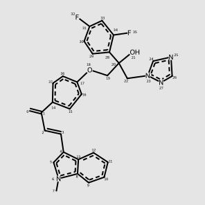 C=C(/C=C/c1cn(C)c2ccccc12)c1ccc(OCC(O)(Cn2cncn2)c2ccc(F)cc2F)cc1